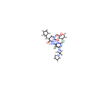 CC1(N2CCCC2)CN(c2nc(Cl)nc(NNC(=O)[C@@H](CC3CCCC3)CN(C=O)OC3CCCCO3)c2F)C1